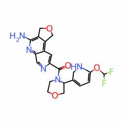 Nc1nc2cnc(C(=O)N3CCOCC3C3=CC=C(OC(F)F)NC3)cc2c2c1COC2